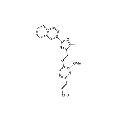 COc1cc(C=CC=O)ccc1OCc1nc(-c2ccc3ccccc3c2)oc1C